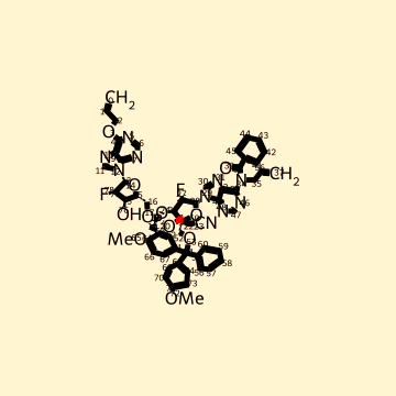 C=CCOc1ncnc2c1ncn2[C@@H]1O[C@H](COP(=S)(OCCC#N)O[C@H]2[C@@H](F)[C@H](n3cnc4c(N(CC=C)C(=O)c5ccccc5)ncnc43)O[C@@H]2COC(c2ccccc2)(c2ccc(OC)cc2)c2ccc(OC)cc2)[C@@H](O)[C@H]1F